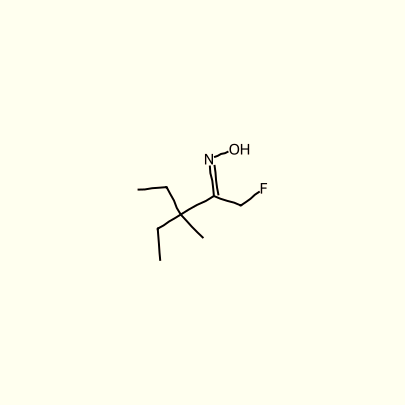 CCC(C)(CC)C(CF)=NO